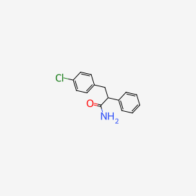 NC(=O)C(Cc1ccc(Cl)cc1)c1ccccc1